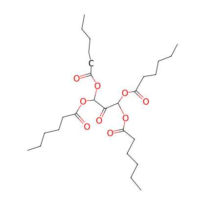 CCCCCC(=O)OC(OC(=O)CCCCC)C(=O)C(OC(=O)CCCCC)OC(=O)CCCCC